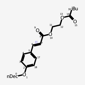 CCCCCCCCCCOc1ccc(/C=C/C(=O)OCCOC(=O)C(C)CC)cc1